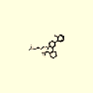 Cc1ccccc1-c1ccc(OCCCCN(C)C)c(C2=C(CN(C)C)[CH]CC=C2)c1